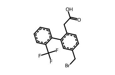 O=C(O)Cc1ccc(CBr)cc1-c1ccccc1C(F)(F)F